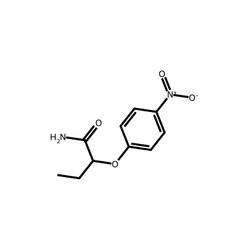 CCC(Oc1ccc([N+](=O)[O-])cc1)C(N)=O